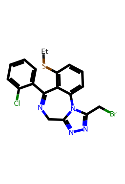 CCSc1cccc2c1C(c1ccccc1Cl)=NCc1nnc(CBr)n1-2